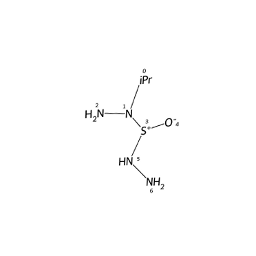 CC(C)N(N)[S+]([O-])NN